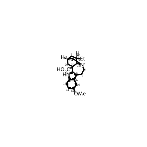 CC[C@H]1C[C@@H]2CN3CCc4c([nH]c5ccc(OC)cc45)[C@](C(=O)O)(C2)C13